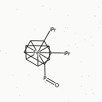 CC(C)[C]12[CH]3[CH]4[C]5(P=O)[C]1(C(C)C)[Fe]43521678[CH]2[CH]1[CH]6[CH]7[CH]28